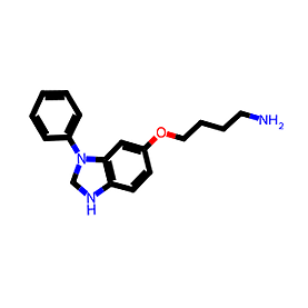 NCCCCOc1ccc2c(c1)N(c1ccccc1)CN2